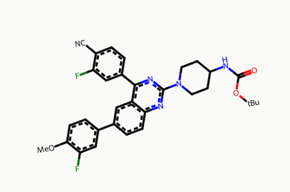 COc1ccc(-c2ccc3nc(N4CCC(NC(=O)OC(C)(C)C)CC4)nc(-c4ccc(C#N)c(F)c4)c3c2)cc1F